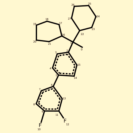 CC(c1ccc(-c2ccc(F)c(F)c2)cc1)(C1CCCCC1)C1CCCCC1